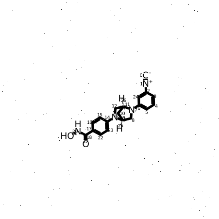 [C-]#[N+]c1cccc(N2C[C@@H]3C[C@H]2CN3c2ccc(C(=O)NO)cc2)c1